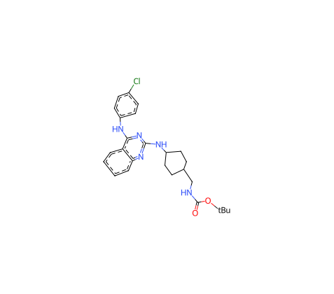 CC(C)(C)OC(=O)NCC1CCC(Nc2nc(Nc3ccc(Cl)cc3)c3ccccc3n2)CC1